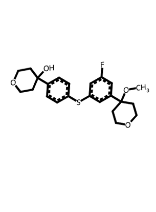 COC1(c2cc(F)cc(Sc3ccc(C4(O)CCOCC4)cc3)c2)CCOCC1